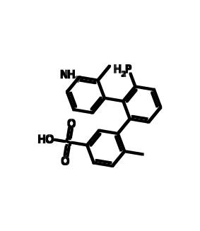 Cc1ccc(S(=O)(=O)O)cc1-c1cccc(P)c1-c1ccccc1C.N